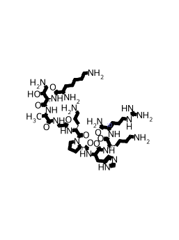 CC(NC(=O)[C@@H](NC(=O)C(N)CCCCCN)C(O)CN)C(=O)NCC(=O)N[C@H](CCCN)C(=O)N1CCC[C@H]1C(=O)NC(Cc1cnc[nH]1)C(=O)N[C@@H](CCCCN)C(=O)N/C(=C\CCNC(=N)N)C(N)=O